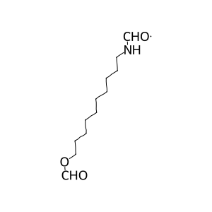 O=[C]NCCCCCCCCCCOC=O